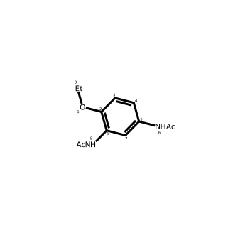 CCOc1ccc(NC(C)=O)cc1NC(C)=O